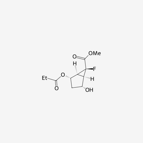 CCC(=O)O[C@H]1C[C@@H](O)[C@H]2[C@@H]1[C@]2(F)C(=O)OC